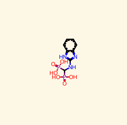 O=P(O)(O)C(Nc1nc2ccccc2[nH]1)P(=O)(O)O